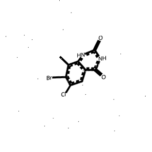 Cc1c(Br)c(Cl)cc2c(=O)[nH]c(=O)[nH]c12